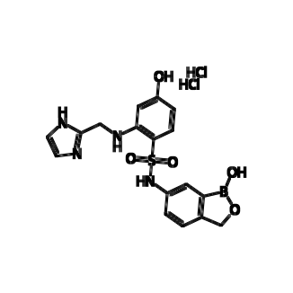 Cl.Cl.O=S(=O)(Nc1ccc2c(c1)B(O)OC2)c1ccc(O)cc1NCc1ncc[nH]1